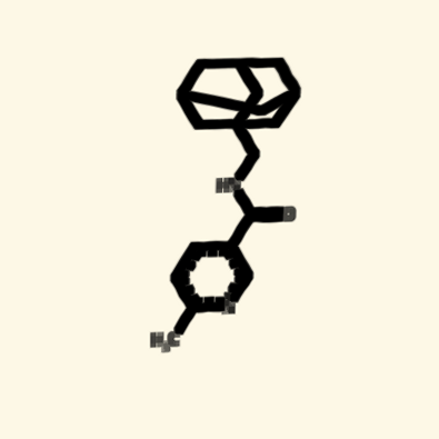 Cc1ccc(C(=O)NCC23CC4CC(CC(C4)C2)C3)cn1